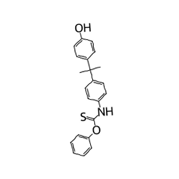 CC(C)(c1ccc(O)cc1)c1ccc(NC(=S)Oc2ccccc2)cc1